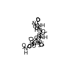 CCCC(NC(=O)[C@@H]1CC2(CN1C(=O)[C@@H](NS(=O)(=O)c1ccc(NC(C)=O)cc1)C1CCCCC1)SCCCS2)C(=O)C(=O)NCC(=O)NC(C(=O)N(C)C)c1ccccc1